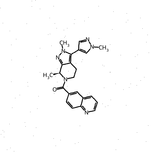 C[C@H]1c2nn(C)c(-c3cnn(C)c3)c2CCN1C(=O)c1ccc2ncccc2c1